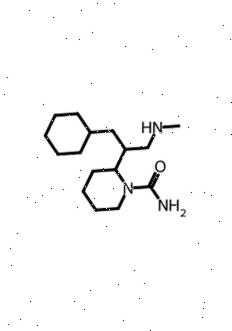 CNCC(CC1CCCCC1)C1CCCCN1C(N)=O